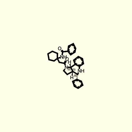 O=C(NC1(CC(=O)N2CC[C@H]3[C@@H](c4ccccc4)Nc4ccccc4[C@H]32)CCCCC1)c1ccccc1